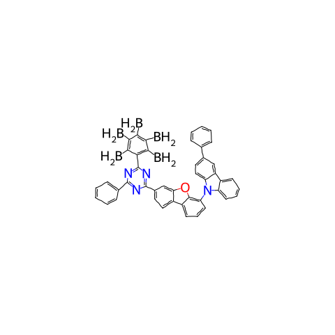 Bc1c(B)c(B)c(-c2nc(-c3ccccc3)nc(-c3ccc4c(c3)oc3c(-n5c6ccccc6c6cc(-c7ccccc7)ccc65)cccc34)n2)c(B)c1B